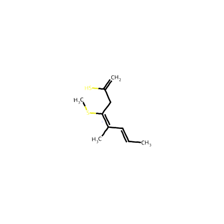 C=C(S)C/C(SC)=C(/C)C=CC